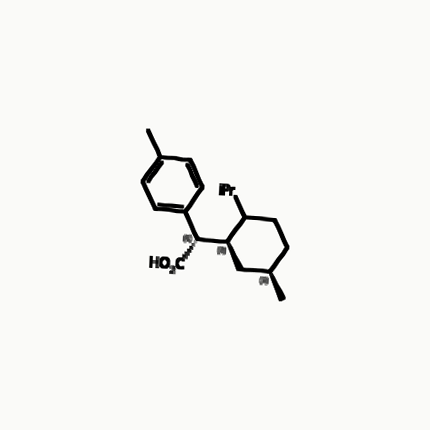 Cc1ccc([C@@H](C(=O)O)[C@@H]2C[C@H](C)CCC2C(C)C)cc1